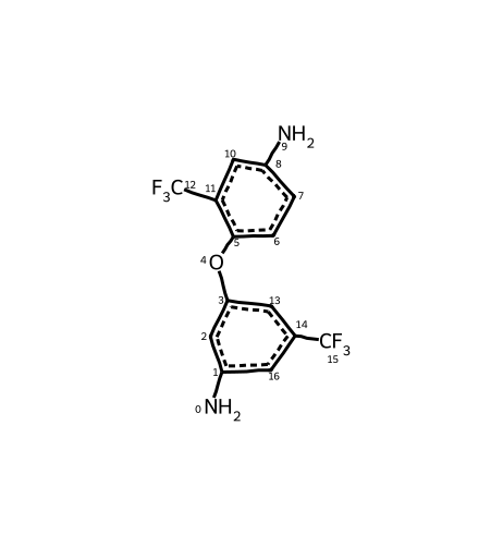 Nc1cc(Oc2ccc(N)cc2C(F)(F)F)cc(C(F)(F)F)c1